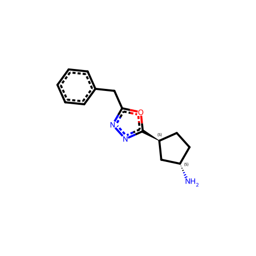 N[C@H]1CC[C@H](c2nnc(Cc3ccccc3)o2)C1